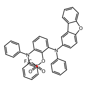 O=S(=O)(Oc1c(N(c2ccccc2)c2ccccc2)cccc1N(c1ccccc1)c1ccc2oc3ccccc3c2c1)C(F)(F)F